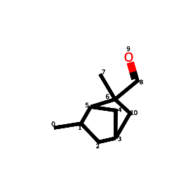 CC1CC2CC1C(C)(C=O)C2